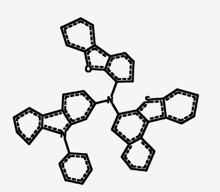 c1ccc(-n2c3ccccc3c3ccc(N(c4cccc5c4oc4ccccc45)c4cc5ccccc5c5c4sc4ccccc45)cc32)cc1